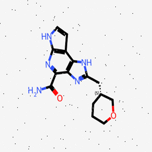 NC(=O)c1nc2[nH]ccc2c2[nH]c([CH][C@H]3CCCOC3)nc12